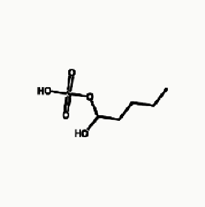 CCCC[C](O)OS(=O)(=O)O